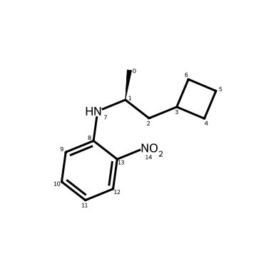 C[C@@H](CC1CCC1)Nc1ccccc1[N+](=O)[O-]